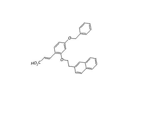 O=C(O)C=Cc1ccc(OCc2ccccc2)cc1OCCc1ccc2ccccc2c1